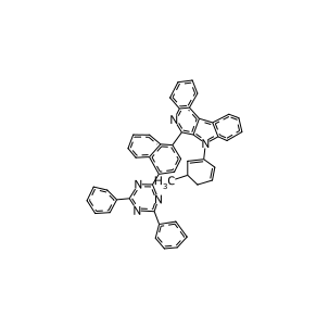 CC1C=C(n2c3ccccc3c3c4ccccc4nc(-c4ccc(-c5nc(-c6ccccc6)nc(-c6ccccc6)n5)c5ccccc45)c32)C=CC1